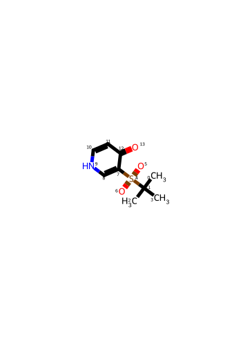 CC(C)(C)S(=O)(=O)c1c[nH]ccc1=O